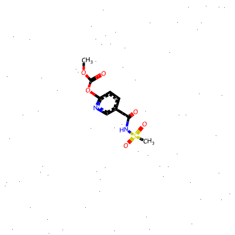 COC(=O)Oc1ccc(C(=O)NS(C)(=O)=O)cn1